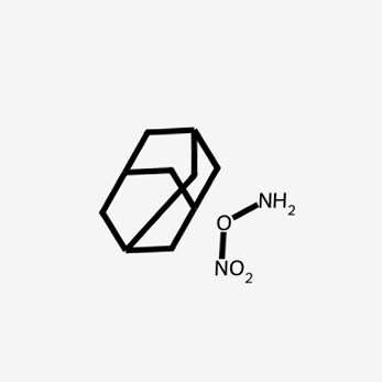 C1C2CC3CC1CC(C2)C3.NO[N+](=O)[O-]